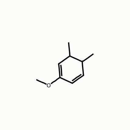 COC1=CC(C)[C](C)C=C1